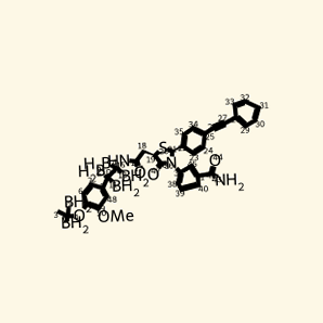 BC(B)(C)Oc1ccc(C(B)(B)C(B)(B)NC(=O)C[C@H]2S[C@@H](c3ccc(C#Cc4ccccc4)cc3)N(c3cccc(C(N)=O)c3)C2=O)cc1OC